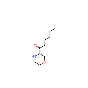 [CH2]CCCCCC(=O)C1COCCN1